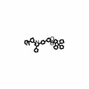 c1ccc(-c2cc(-c3ccc(-c4ccc5c(c4)Oc4c(ccc6c4-c4ccccc4C6(c4ccccc4)c4ccccc4)O5)cc3)nc(-c3cccc(-c4ccccn4)c3)c2)cc1